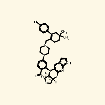 CC1(C)CCC(CN2CCN(c3ccc(C(=O)O)c(N4c5cc6cc[nH]c6nc5O[C@@H]5COC[C@H]54)c3)CC2)=C(c2ccc(Cl)cc2)C1